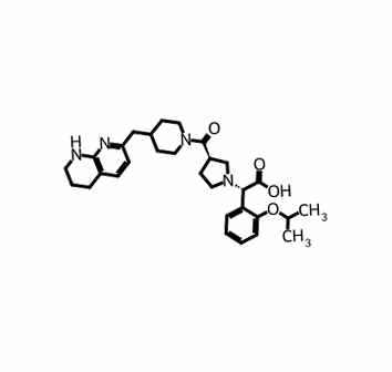 CC(C)Oc1ccccc1[C@@H](C(=O)O)N1CC[C@@H](C(=O)N2CCC(Cc3ccc4c(n3)NCCC4)CC2)C1